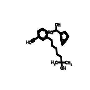 C#Cc1cccc(CCCCCC(C)(C)O)c1.OC(O)c1ccc2cc1-2